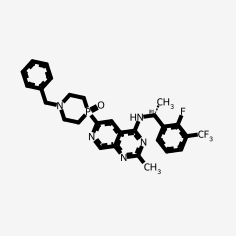 Cc1nc(N[C@H](C)c2cccc(C(F)(F)F)c2F)c2cc(P3(=O)CCN(Cc4ccccc4)CC3)ncc2n1